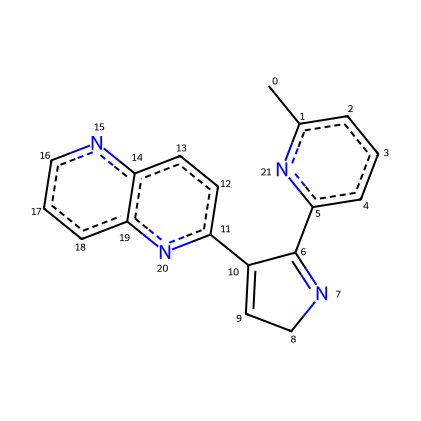 Cc1cccc(C2=NCC=C2c2ccc3ncccc3n2)n1